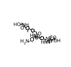 Cc1cc(C(=O)N[C@@H](C)CO)ccc1-c1ccc(CC(NC(=O)[C@H]2CC[C@H](CN)CC2)C(=O)Nc2ccc(-c3nc(C(F)(F)C(F)(F)C(=O)O)n[nH]3)cc2)cc1